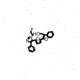 OCc1c(-c2ccc(-c3c(-c4ccccc4)ncn3CCF)o2)oc2ccccc12